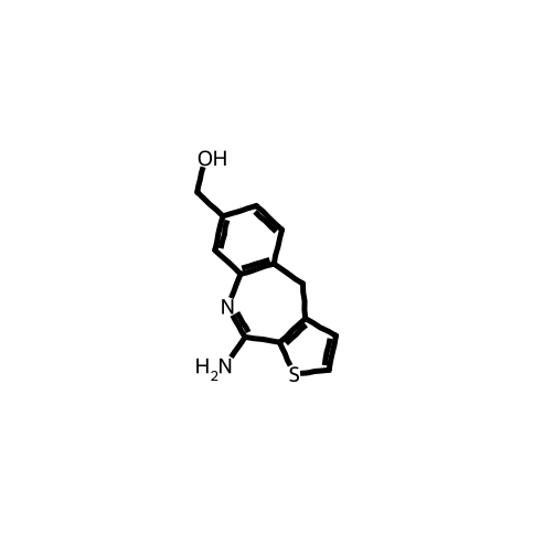 NC1=Nc2cc(CO)ccc2Cc2ccsc21